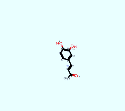 CC(C)C(=O)/C=C/c1ccc(O)c(O)c1